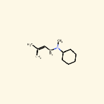 CC(C)=C[SiH2]N(C)C1CCCCC1